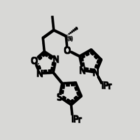 CC(C)c1ccc(-c2noc(CC(C)[C@H](C)Oc3ccn(C(C)C)n3)n2)s1